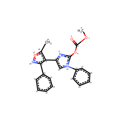 COC(=O)Oc1nc(-c2c(-c3ccccc3)noc2C)cn1-c1ccccc1